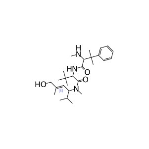 CNC(C(=O)NC(C(=O)N(C)C(/C=C(\C)CO)C(C)C)C(C)(C)C)C(C)(C)c1ccccc1